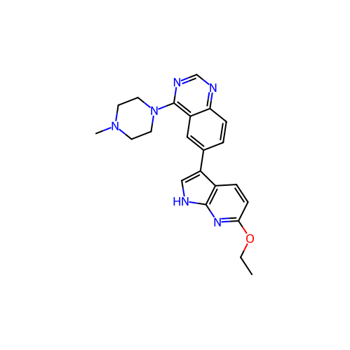 CCOc1ccc2c(-c3ccc4ncnc(N5CCN(C)CC5)c4c3)c[nH]c2n1